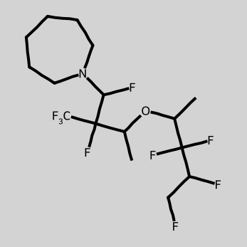 CC(OC(C)C(F)(C(F)N1CCCCCC1)C(F)(F)F)C(F)(F)C(F)CF